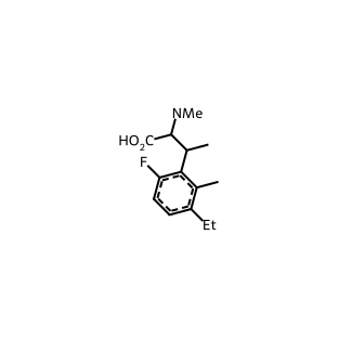 CCc1ccc(F)c(C(C)C(NC)C(=O)O)c1C